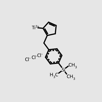 C[Si](C)(C)c1ccc(CC2=[C]([Ti+3])C=CC2)cc1.[Cl-].[Cl-].[Cl-]